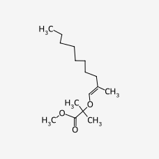 CCCCCCCCC(C)=COC(C)(C)C(=O)OC